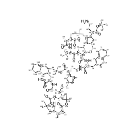 C[C@@H](C(=O)N[C@H](C(=O)N1CC[C@H](OCc2cn([C@@H](CCNC(=O)[C@H](Cc3ccc4ccccc4c3)NC(=O)[C@@H]3[C@@H](OCc4cn([C@@H](CCN)C(=O)OC(C)(C)C)nn4)CCN3C(=O)[C@@H](NC(=O)[C@H](C)N(C)C(=O)OC(C)(C)C)C(C)(C)C)C(=O)OC(C)(C)C)nn2)[C@H]1C(=O)N[C@@H](Cc1ccc2ccccc2c1)C(=O)O)C(C)(C)C)N(C)C(=O)OC(C)(C)C